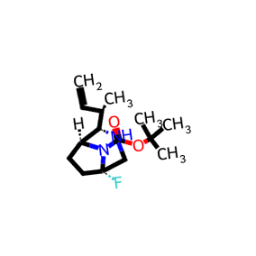 C=C[C@H](C)[C@@H]1NC[C@@]2(F)CC[C@@H]1N2C(=O)OC(C)(C)C